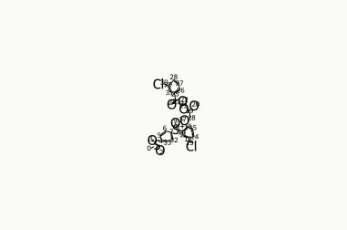 CS(=O)(=O)c1ccc([S+]([O-])c2cc(Cl)ccc2OCC(=O)OOC(=O)c2cccc(Cl)c2)cc1